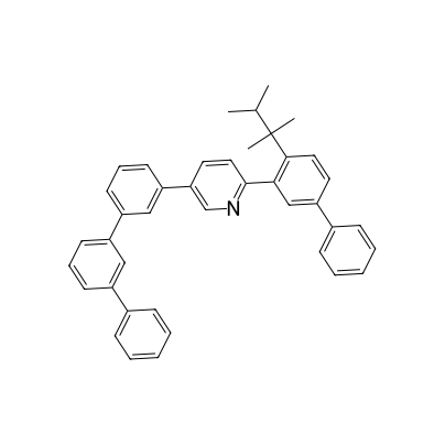 CC(C)C(C)(C)c1ccc(-c2ccccc2)cc1-c1ccc(-c2cccc(-c3cccc(-c4ccccc4)c3)c2)cn1